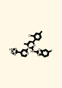 CC1=CC(c2ccc(C)cc2Cl)N=C(Nc2nc3ccc(F)cc3o2)N1c1cc(-c2nn[nH]n2)ccn1